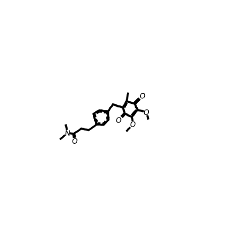 COC1=C(OC)C(=O)C(Cc2ccc(CCC(=O)N(C)C)cc2)=C(C)C1=O